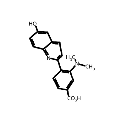 CN(C)c1cc(C(=O)O)ccc1-c1ccc2cc(O)ccc2n1